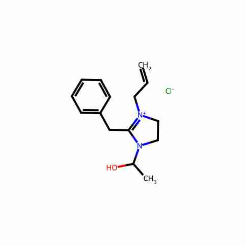 C=CC[N+]1=C(Cc2ccccc2)N(C(C)O)CC1.[Cl-]